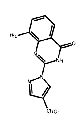 CC(C)(C)c1cccc2c(=O)[nH]c(-n3cc([C]=O)cn3)nc12